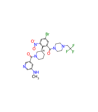 CNc1cncc(C(=O)N2CCC[C@H](c3c(C(=O)N4CCN(CC(F)(F)F)CC4)cc(Br)cc3[N+](=O)[O-])C2)c1